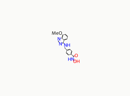 COc1cccc2c(NCc3ccc(C(=O)NO)cc3)ncnc12